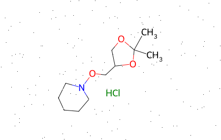 CC1(C)OCC(CON2CCCCC2)O1.Cl